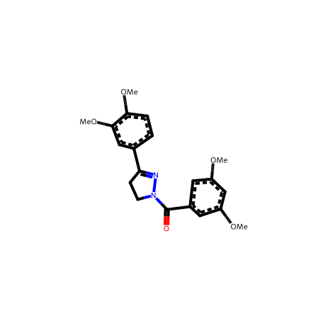 COc1cc(OC)cc(C(=O)N2CCC(c3ccc(OC)c(OC)c3)=N2)c1